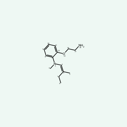 CC/C(C)=C\N(C)c1ccccc1OCCN